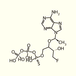 C[C@@H](OC(COP(O)(=S)OP(=O)(O)OP(=O)(O)O)[C@H](O)CF)n1cnc2c(N)ncnc21